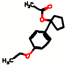 CCOc1ccc(C2(OC(C)=O)CCCC2)cc1